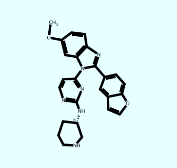 COc1ccc2nc(-c3ccc4occc4c3)n(-c3ccnc(N[C@H]4CCCNC4)n3)c2c1